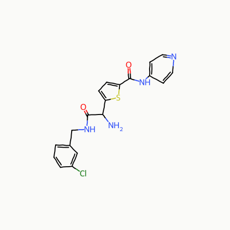 NC(C(=O)NCc1cccc(Cl)c1)c1ccc(C(=O)Nc2ccncc2)s1